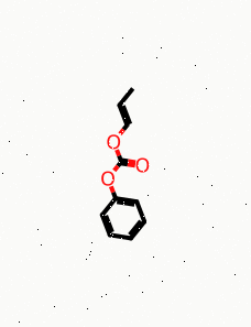 CC=COC(=O)Oc1ccccc1